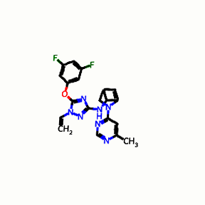 C=Cn1nc(NC2C3=CC2CN3c2cc(C)ncn2)nc1Oc1cc(F)cc(F)c1